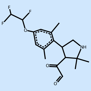 Cc1cc(OC(F)C(F)F)cc(C)c1C1CNC(C)(C)C1C(=O)C=O